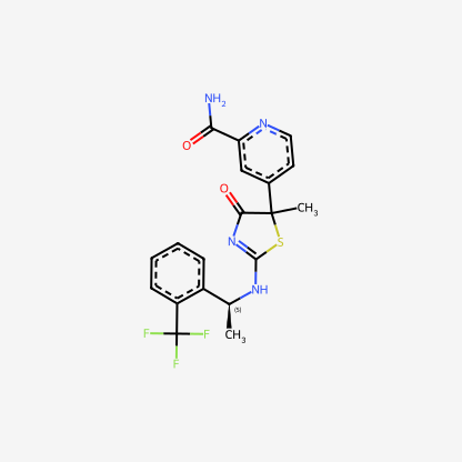 C[C@H](NC1=NC(=O)C(C)(c2ccnc(C(N)=O)c2)S1)c1ccccc1C(F)(F)F